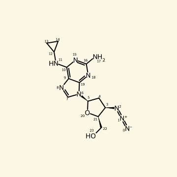 [N-]=[N+]=N[C@@H]1C[C@H](n2cnc3c(NC4CC4)nc(N)nc32)O[C@@H]1CO